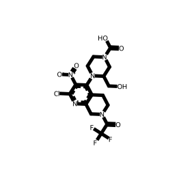 O=C(O)N1CCN(c2c3c(nc(Cl)c2[N+](=O)[O-])CN(C(=O)C(F)(F)F)CC3)C(CO)C1